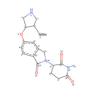 CNC1CNCC1Oc1ccc2c(c1)CN(C1CCC(=O)N(C)C1=O)C2=O